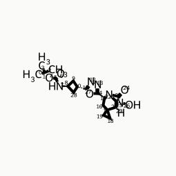 CC(C)(C)OC(=O)N[C@H]1C[C@H](c2nnc([C@@H]3CC4(CC4)[C@H]4CN3C(=O)N4O)o2)C1